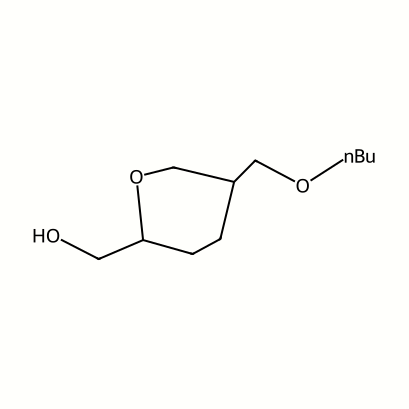 CCCCOCC1CCC(CO)OC1